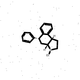 CCN1CC[C@@H]2c3ccccc3[C@@H](c3ccccc3)C[C@H]21